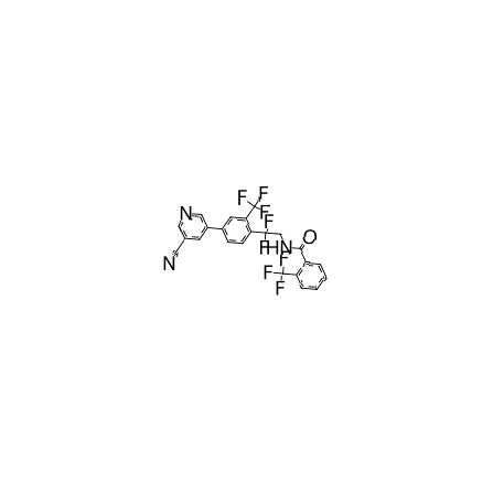 N#Cc1cncc(-c2ccc(C(F)(F)CNC(=O)c3ccccc3C(F)(F)F)c(C(F)(F)F)c2)c1